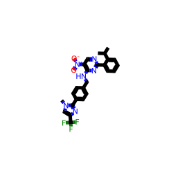 CC(C)c1ccccc1-c1ncc([N+](=O)[O-])c(NCc2ccc(-c3nc(C(F)(F)F)cn3C)cc2)n1